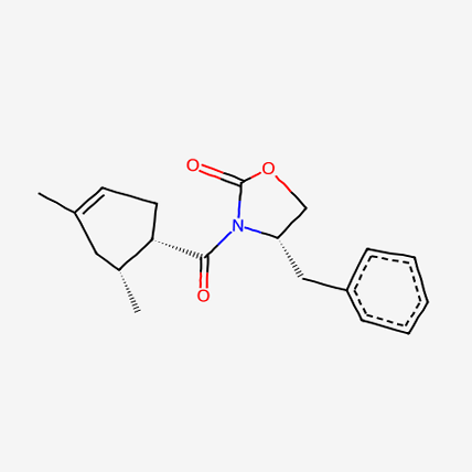 CC1=CC[C@H](C(=O)N2C(=O)OC[C@@H]2Cc2ccccc2)[C@H](C)C1